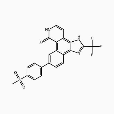 CS(=O)(=O)c1ccc(-c2ccc3c(c2)c2c(=O)[nH]ccc2c2[nH]c(C(F)(F)F)nc32)cc1